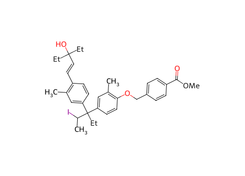 CCC(O)(C=Cc1ccc(C(CC)(c2ccc(OCc3ccc(C(=O)OC)cc3)c(C)c2)C(C)I)cc1C)CC